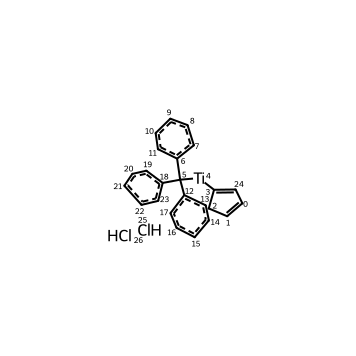 C1=CC[C]([Ti][C](c2ccccc2)(c2ccccc2)c2ccccc2)=C1.Cl.Cl